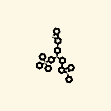 c1ccc(-n2c3ccccc3c3c(-c4cccc(N(c5ccc(-c6ccc7c(c6)oc6ccccc67)cc5)c5ccc([Si](c6ccccc6)(c6ccccc6)c6ccccc6)cc5)c4)cccc32)cc1